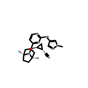 Cn1cc(Nc2nccc(N3C[C@H]4CC[C@@H](C3)N4C[C@H]3C[C@@H]3C#N)n2)cn1